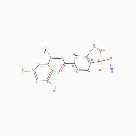 O=C(/C=C(\c1cc(Cl)cc(Cl)c1)C(F)(F)F)c1ccc2c(c1)COC21CNC1